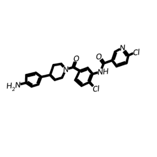 Nc1ccc(C2CCN(C(=O)c3ccc(Cl)c(NC(=O)c4ccc(Cl)nc4)c3)CC2)cc1